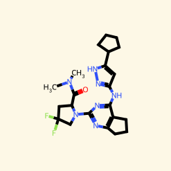 CN(C)C(=O)C1CC(F)(F)CN1c1nc2c(c(Nc3cc(C4CCCC4)[nH]n3)n1)CCC2